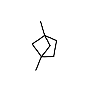 CC12CCC(C)(C1)C2